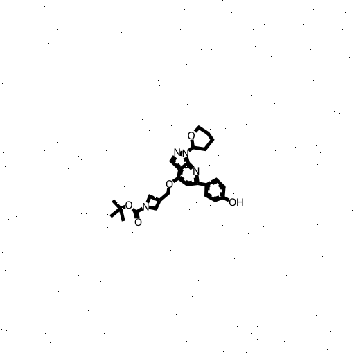 CC(C)(C)OC(=O)N1CC(COc2cc(-c3ccc(O)cc3)nc3c2cnn3C2CCCCO2)C1